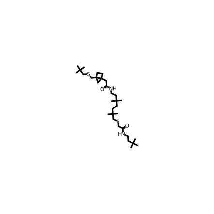 CC(C)(C)CCNC(=O)CSCC(C)(C)CCC(C)(C)CCNC(=O)CC12CCC1(CSCC(C)(C)C)C2